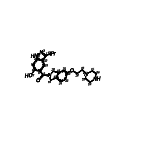 CC(C)c1n[nH]c2cc(O)c(C(=O)N3Cc4ccc(OCCN5CCNCC5)cc4C3)cc12